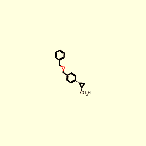 O=C(O)[C@@H]1C[C@H]1c1ccc(COCc2ccccc2)cc1